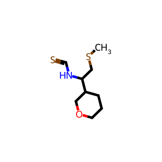 CSCC(NC=S)C1CCCOC1